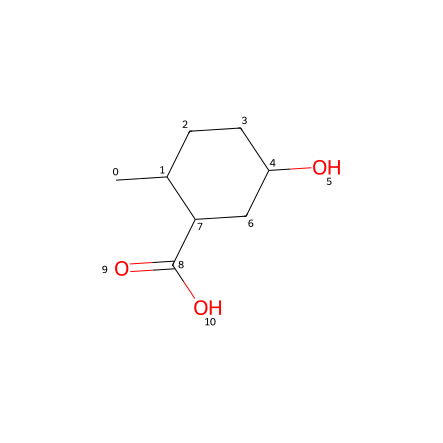 CC1CCC(O)CC1C(=O)O